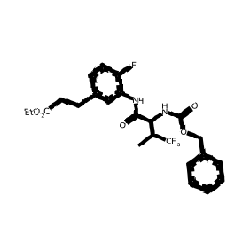 CCOC(=O)CCc1ccc(F)c(NC(=O)C(NC(=O)OCc2ccccc2)C(C)C(F)(F)F)c1